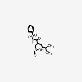 CC(C)CCC(CN(O)C=O)C(=O)NS(=O)(=O)c1ccccc1